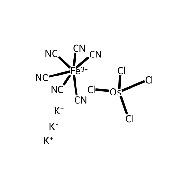 N#[C][Fe-3]([C]#N)([C]#N)([C]#N)([C]#N)[C]#N.[Cl][Os]([Cl])([Cl])[Cl].[K+].[K+].[K+]